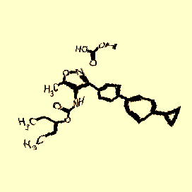 CCC(CC)OC(=O)Nc1c(-c2ccc(-c3ccc(C4CC4)cc3)cc2)noc1C.O=C(O)O